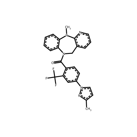 Cc1ccn(-c2ccc(C(=O)N3Cc4cccnc4N(C)c4ccccc43)c(C(F)(F)F)c2)n1